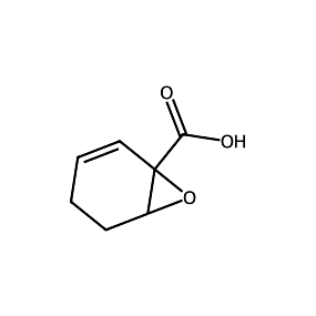 O=C(O)C12C=CCCC1O2